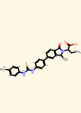 CCC(C(=O)O)N1C(=O)c2ccc(-c3ccc(NC(=S)Nc4ccc(C)cc4)cc3)cc2C1C